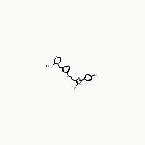 Cc1oc(-c2ccc(C(F)(F)F)cc2)nc1CCOc1cccc(CN2CCSCC2C(=O)O)c1